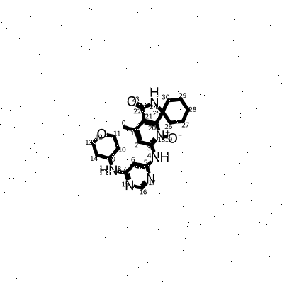 Cc1cc(Nc2cc(NC3CCOCC3)ncn2)[n+]([O-])c2c1C(=O)NC21CCCCC1